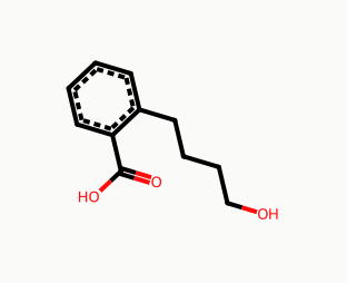 O=C(O)c1ccccc1CCCCO